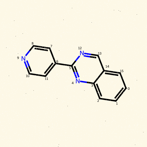 c1ccc2nc(-c3ccncc3)ncc2c1